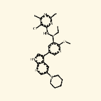 CC[C@H](Nc1nc(C)nc(C)c1Cl)c1cc(-c2c[nH]c3ncc(N4CCCCC4)cc23)cnc1OC